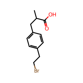 CC(Cc1ccc(CCBr)cc1)C(=O)O